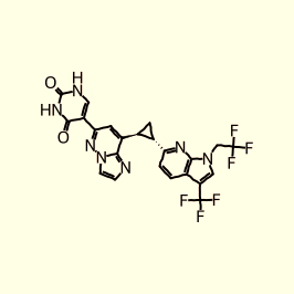 O=c1[nH]cc(-c2cc([C@H]3C[C@@H]3c3ccc4c(C(F)(F)F)cn(CC(F)(F)F)c4n3)c3nccn3n2)c(=O)[nH]1